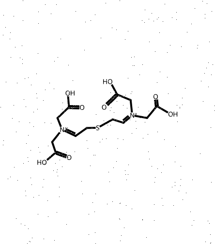 O=C(O)C[N+](=CCSCC=[N+](CC(=O)O)CC(=O)O)CC(=O)O